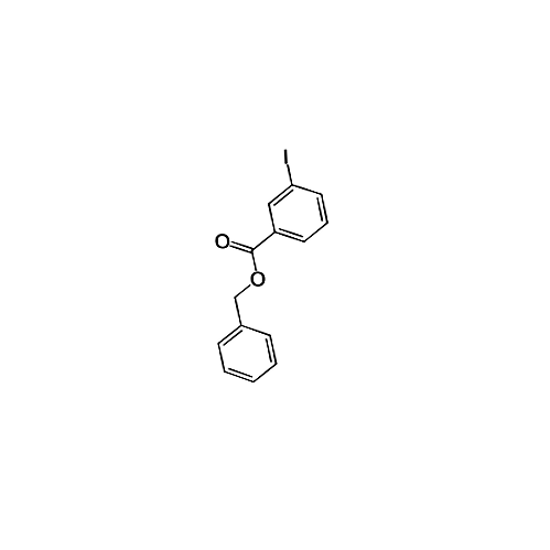 O=C(OCc1ccccc1)c1cccc(I)c1